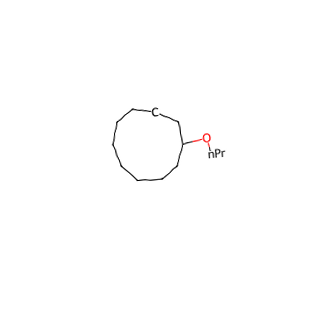 CCCOC1CCCCCCCCC1